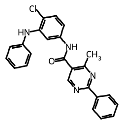 Cc1nc(-c2ccccc2)ncc1C(=O)Nc1ccc(Cl)c(Nc2ccccc2)c1